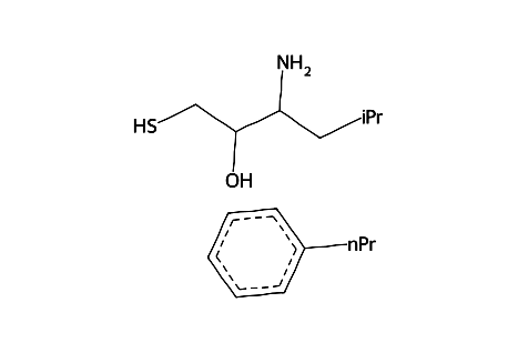 CC(C)CC(N)C(O)CS.CCCc1ccccc1